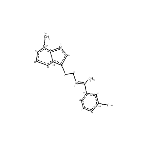 C/C(=N\CCc1cnc2n(C)cccc1-2)c1cccc(F)c1